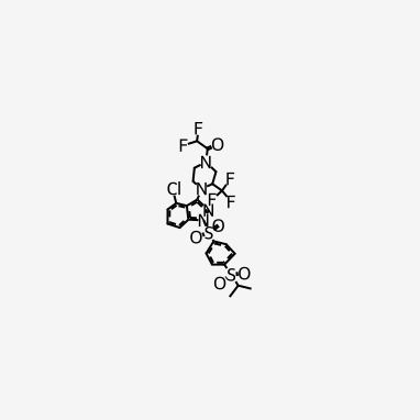 CC(C)S(=O)(=O)c1ccc(S(=O)(=O)n2nc(N3CCN(C(=O)C(F)F)CC3C(F)(F)F)c3c(Cl)cccc32)cc1